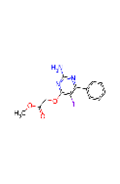 COC(=O)COc1nc(N)nc(-c2ccccc2)c1I